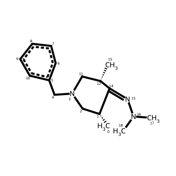 C[C@@H]1CN(Cc2ccccc2)C[C@H](C)/C1=N/N(C)C